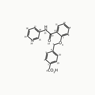 O=C(O)c1ccc(COc2ccccc2C(=O)Nc2cccnc2)cc1